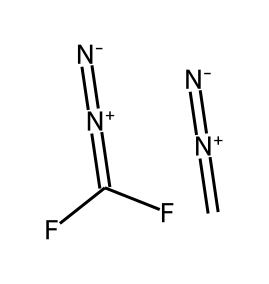 C=[N+]=[N-].[N-]=[N+]=C(F)F